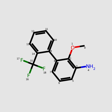 COc1c(N)cccc1-c1ccccc1C(F)(F)F